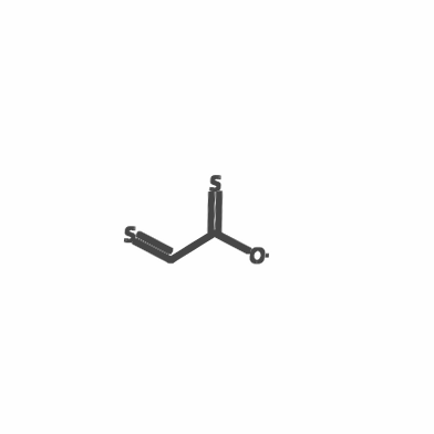 [O]C(=S)C=S